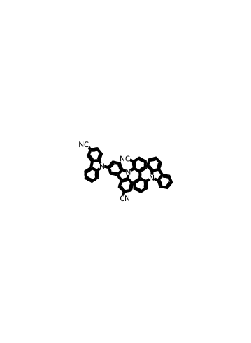 N#Cc1ccc2c(c1)c1ccccc1n2-c1ccc2c(c1)c1cc(C#N)ccc1n2-c1c(C#N)cccc1-c1ccccc1-n1c2ccccc2c2ccccc21